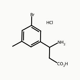 Cc1cc(Br)cc(C(N)CC(=O)O)c1.Cl